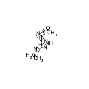 CC(=O)c1ccc(-c2nccc3[nH]c(-c4n[nH]c5ncc(-c6cncc(CN(C)C)c6)cc45)nc23)s1